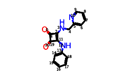 O=c1c(NCc2ccccn2)c(Nc2ccccc2)c1=O